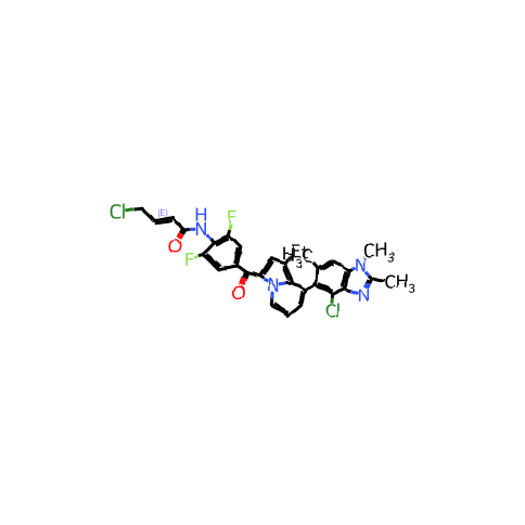 CCc1cc(C(=O)c2cc(F)c(NC(=O)/C=C/CCl)c(F)c2)n2cccc(-c3c(C)cc4c(nc(C)n4C)c3Cl)c12